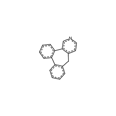 c1ccc2c(c1)Cc1ccncc1-c1ccccc1-2